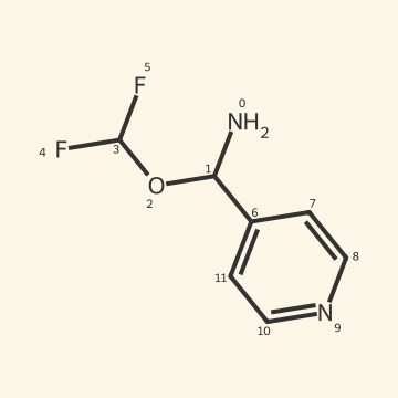 NC(OC(F)F)c1ccncc1